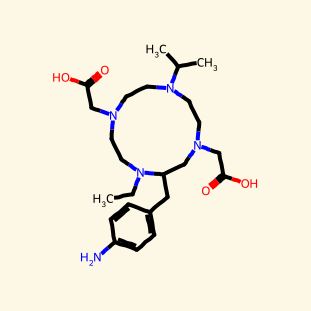 CCN1CCN(CC(=O)O)CCN(C(C)C)CCN(CC(=O)O)CC1Cc1ccc(N)cc1